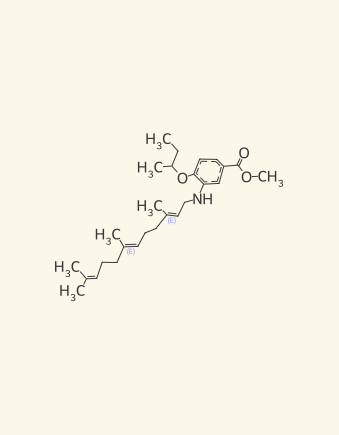 CCC(C)Oc1ccc(C(=O)OC)cc1NC/C=C(\C)CC/C=C(\C)CCC=C(C)C